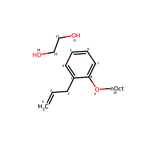 C=CCc1ccccc1OCCCCCCCC.OCCO